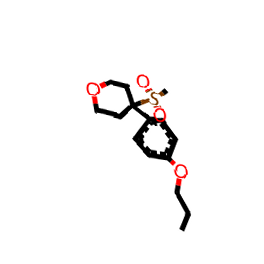 CCCOc1ccc(C2(S(C)(=O)=O)CCOCC2)cc1